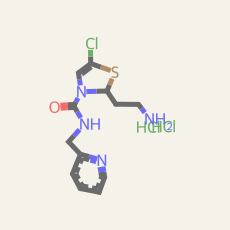 Cl.Cl.NCCC1SC(Cl)=CN1C(=O)NCc1ccccn1